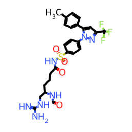 Cc1ccc(-c2cc(C(F)(F)F)nn2-c2ccc(S(=O)(=O)NC(=O)CCCC(CNC(=N)N)NC=O)cc2)cc1